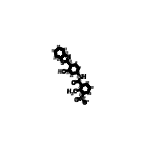 Cc1c(C(=O)Nc2ccc(-c3nc4ccccc4s3)c(O)c2)cccc1[N+](=O)[O-]